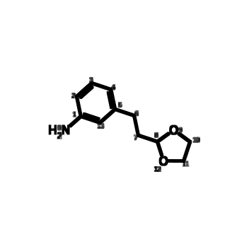 Nc1cccc(CCC2OCCO2)c1